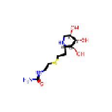 NC(=O)NCCSCC[C@H]1NC[C@@H](O)[C@H](O)[C@H]1O